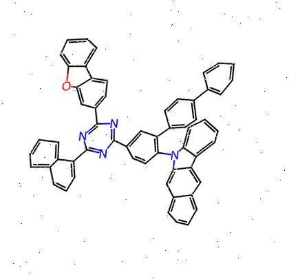 c1ccc(-c2ccc(-c3cc(-c4nc(-c5ccc6c(c5)oc5ccccc56)nc(-c5cccc6ccccc56)n4)ccc3-n3c4ccccc4c4cc5ccccc5cc43)cc2)cc1